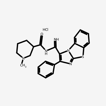 CN1CCCC(C(=O)NC(=N)c2c(-c3ccccc3)nc3sc4ccccc4n23)C1.Cl